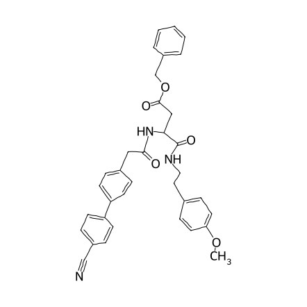 COc1ccc(CCNC(=O)C(CC(=O)OCc2ccccc2)NC(=O)Cc2ccc(-c3ccc(C#N)cc3)cc2)cc1